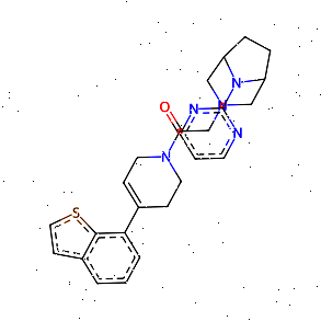 O=C(CN1CC2CCC(C1)N2c1ncccn1)N1CC=C(c2cccc3ccsc23)CC1